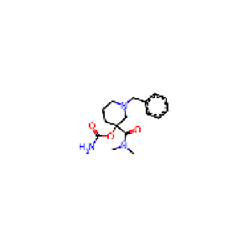 CN(C)C(=O)C1(OC(N)=O)CCCN(Cc2ccccc2)C1